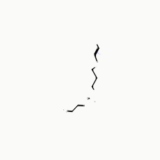 C/C=C/OCCCOP(=O)(O)OCCN